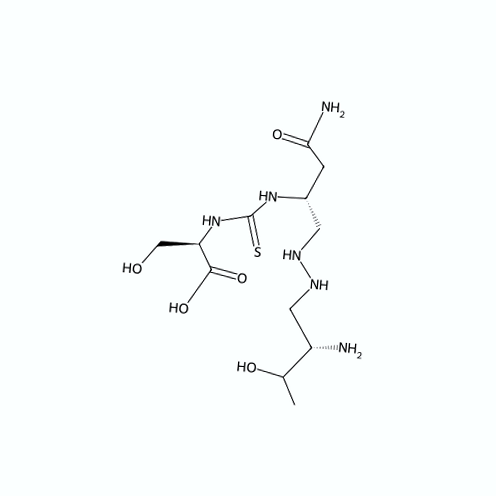 CC(O)[C@@H](N)CNNC[C@@H](CC(N)=O)NC(=S)N[C@H](CO)C(=O)O